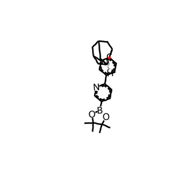 CC1(C)OB(c2ccc(-c3ccc4c(c3)C3CC5CC4C[C@H](C5)C3)nc2)OC1(C)C